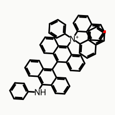 c1ccc(Nc2c3ccccc3c(-c3c4ccccc4c([N+](c4ccccc4)(c4cccc5ccccc45)c4cccc5ccccc45)c4ccccc34)c3ccccc23)cc1